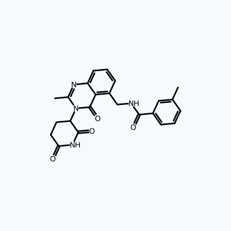 Cc1cccc(C(=O)NCc2cccc3nc(C)n(C4CCC(=O)NC4=O)c(=O)c23)c1